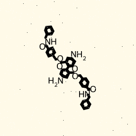 Nc1ccc(-c2ccc(N)cc2C(=O)OCc2ccc(C(=O)NCc3ccccc3)cc2)c(C(=O)OCc2ccc(C(=O)NCc3ccccc3)cc2)c1